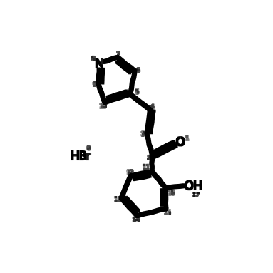 Br.O=C(C=Cc1ccncc1)c1ccccc1O